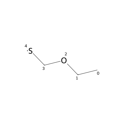 CCOC[S]